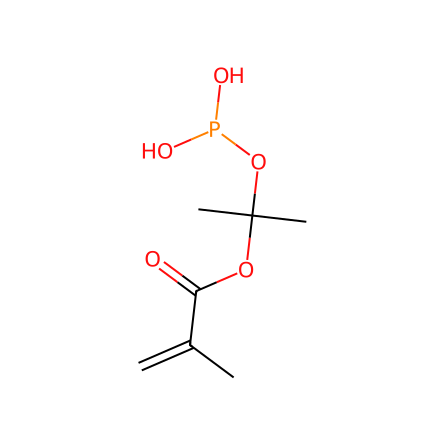 C=C(C)C(=O)OC(C)(C)OP(O)O